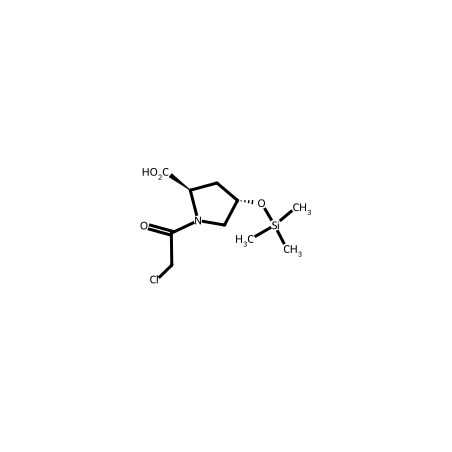 C[Si](C)(C)O[C@H]1C[C@H](C(=O)O)N(C(=O)CCl)C1